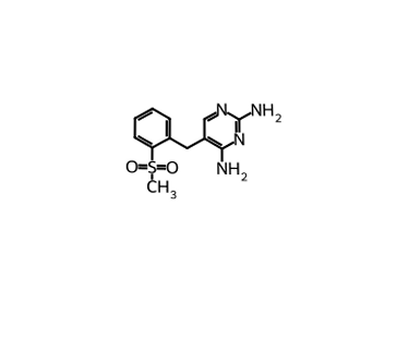 CS(=O)(=O)c1ccccc1Cc1cnc(N)nc1N